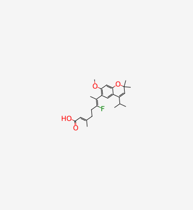 COc1cc2c(cc1C(C)=C(F)CCC(C)=CC(=O)O)C(C(C)C)=CC(C)(C)O2